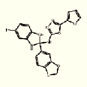 Fc1ccc2c(c1)NC(Nc1nnc(-c3ccco3)s1)(c1ccc3c(c1)OCO3)N2